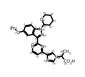 CC(C)Oc1ccc2c(c1)c(-c1nccc(-c3cn(C(C)C(=O)O)cn3)n1)nn2C1CCCCO1